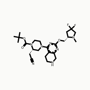 CN1CC(F)(F)C[C@H]1COc1nc2c(c(N3CCN(C(=O)OC(C)(C)C)[C@@H](CC#N)C3)n1)CCNC2